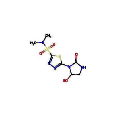 CN(C)S(=O)(=O)c1nnc(N2C(=O)NCC2O)s1